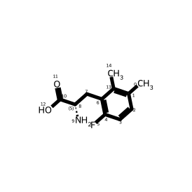 Cc1ccc(F)c(C[C@H](N)C(=O)O)c1C